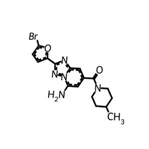 CC1CCN(C(=O)c2cc(N)n3nc(-c4ccc(Br)o4)nc3c2)CC1